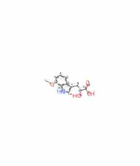 COc1cccc2c(CC(O)C(=O)O)c[nH]c12